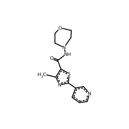 Cc1nc(-c2cccnc2)sc1C(=O)NN1CCOCC1